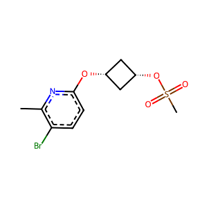 Cc1nc(O[C@H]2C[C@@H](OS(C)(=O)=O)C2)ccc1Br